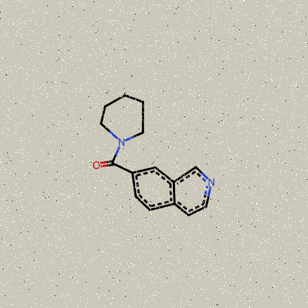 O=C(c1ccc2ccncc2c1)N1CC[CH]CC1